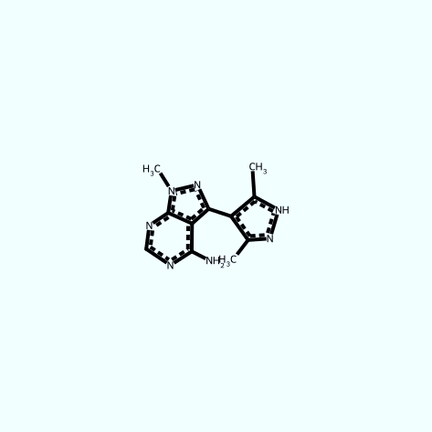 Cc1n[nH]c(C)c1-c1nn(C)c2ncnc(N)c12